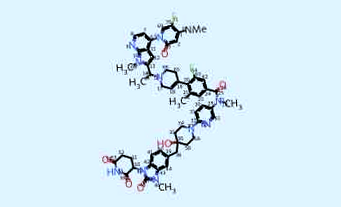 CNc1cc(=O)n(-c2ccnc3c2cc([C@H](C)N2CC=C(c4c(C)cc(C(=O)N(C)c5ccc(N6CCC(O)(Cc7ccc8c(c7)n(C)c(=O)n8C7CCC(=O)NC7=O)CC6)nc5)cc4F)CC2)n3C)cc1F